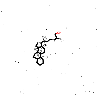 CC(CO)[Te]CC[C@@H](C)[C@H]1CC[C@H]2[C@@H]3CCC4CCCC[C@]4(C)[C@H]3CC[C@]12C